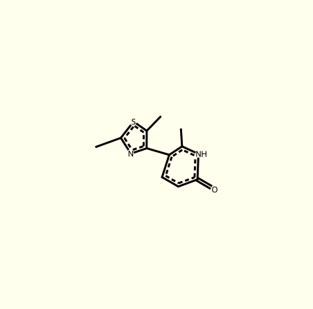 Cc1nc(-c2ccc(=O)[nH]c2C)c(C)s1